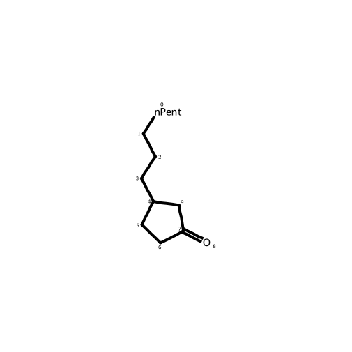 CCCCCCCCC1CCC(=O)C1